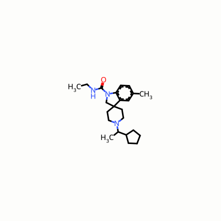 CCNC(=O)N1CC2(CCN(C(C)C3CCCC3)CC2)c2cc(C)ccc21